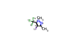 Cc1nn(C)c(C(F)(F)F)c1I